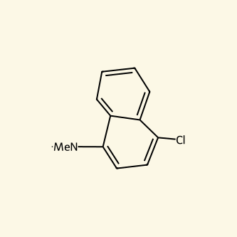 C[N]c1ccc(Cl)c2ccccc12